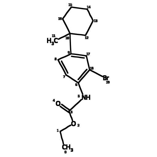 CCOC(=O)Nc1ccc(C2(C)CCCCC2)cc1Br